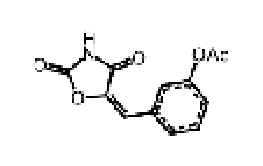 CC(=O)Oc1cccc(C=C2OC(=O)NC2=O)c1